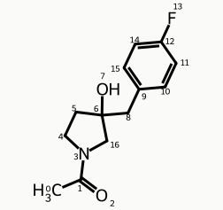 CC(=O)N1CCC(O)(Cc2ccc(F)cc2)C1